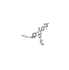 Cc1cc(C)c(-c2ccc(NC(=O)C(Cc3ccc(NCCS(=O)(=O)O)cc3)c3ccc(-c4ccc(C(C)(C)C)cc4)cc3)cc2)c(C)c1